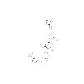 O=C(c1ccc([N+](=O)[O-])o1)N1CCN(c2c(F)cc(N3C[C@H](CNc4ccon4)OC3=O)cc2F)CCN1